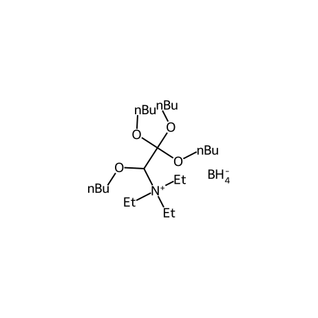 CCCCOC(C(OCCCC)(OCCCC)OCCCC)[N+](CC)(CC)CC.[BH4-]